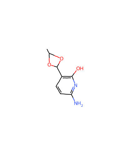 CC1OC(c2ccc(N)nc2O)O1